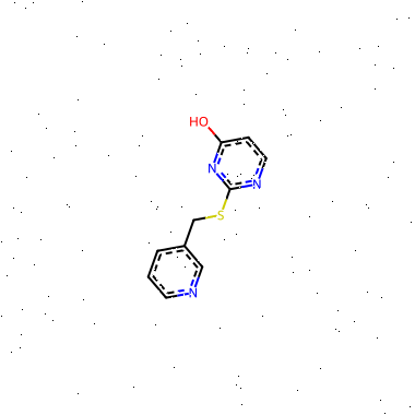 Oc1ccnc(SCc2cccnc2)n1